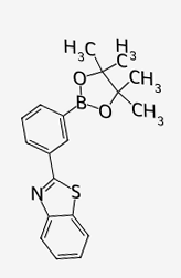 CC1(C)OB(c2cccc(-c3nc4ccccc4s3)c2)OC1(C)C